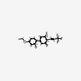 CCOc1ccc(-c2cc(F)c(C#CC(F)(F)F)c(F)c2)c(F)c1